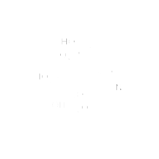 CC(=O)CC(=O)C(CO)C(CCO)CC1CC(=O)c2c(O)ccc(-c3ccc(CN4CCCC4)cc3)c2C1